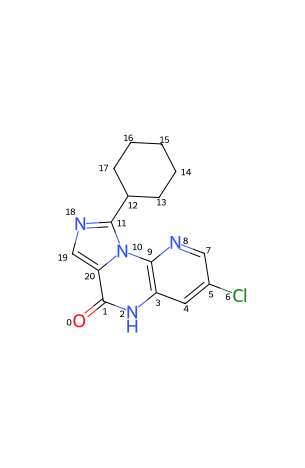 O=c1[nH]c2cc(Cl)cnc2n2c(C3CCCCC3)ncc12